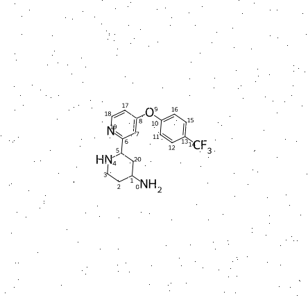 NC1CCNC(c2cc(Oc3ccc(C(F)(F)F)cc3)ccn2)C1